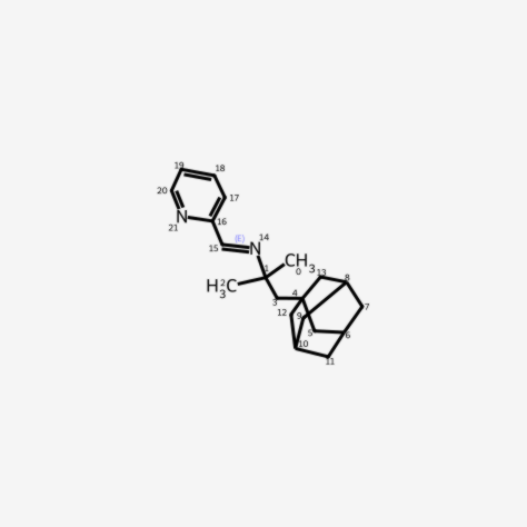 CC(C)(CC12CC3CC(CC(C3)C1)C2)/N=C/c1ccccn1